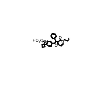 O=C(O)NC1(c2ccc(-c3oc4ccn(CCF)c(=O)c4c3-c3ccccc3)cc2)CCC1